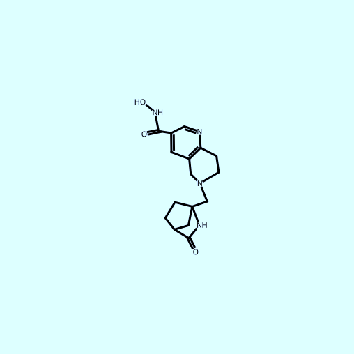 O=C(NO)c1cnc2c(c1)CN(CC13CCC(C1)C(=O)N3)CC2